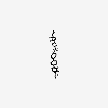 CCCc1ccc(C2CCC(C(=O)OC3CCC(C4CCC(c5ccc(OCC)c(F)c5F)CC4)CC3)CC2)c(F)c1F